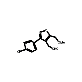 COCc1onc(-c2ccc(Cl)cc2)c1CC=O